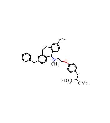 CCCc1ccc2c(c1)CCc1cc(Cc3ccccc3)ccc1C2N(C)CCOc1ccc(CC(OC)C(=O)OCC)cc1